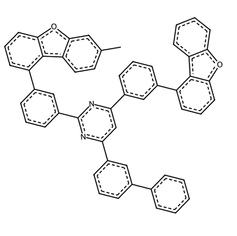 Cc1ccc2c(c1)oc1cccc(-c3cccc(-c4nc(-c5cccc(-c6ccccc6)c5)cc(-c5cccc(-c6cccc7oc8ccccc8c67)c5)n4)c3)c12